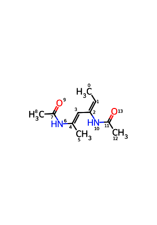 C/C=C(\C=C(/C)NC(C)=O)NC(C)=O